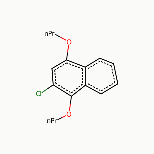 CCCOc1cc(Cl)c(OCCC)c2ccccc12